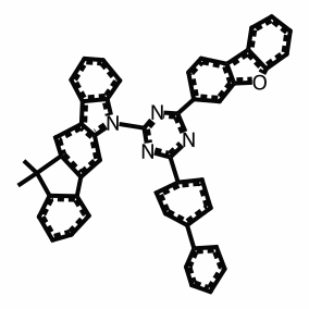 CC1(C)c2ccccc2-c2cc3c(cc21)c1ccccc1n3-c1nc(-c2ccc(-c3ccccc3)cc2)nc(-c2ccc3c(c2)oc2ccccc23)n1